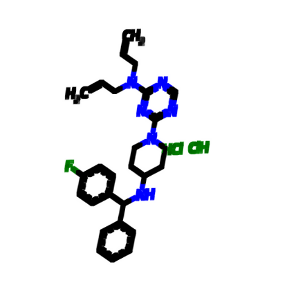 C=CCN(CC=C)c1ncnc(N2CCC(NC(c3ccccc3)c3ccc(F)cc3)CC2)n1.Cl.Cl